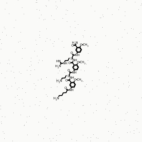 COc1ccc(NC(=O)[C@@H](CCCNC(=N)N)NC(=O)c2cc(NC(=O)[C@@H](CCCN)NC(=O)c3cc(NC(=O)CCCCN)ccc3OC)ccc2OC)cc1C(N)=O